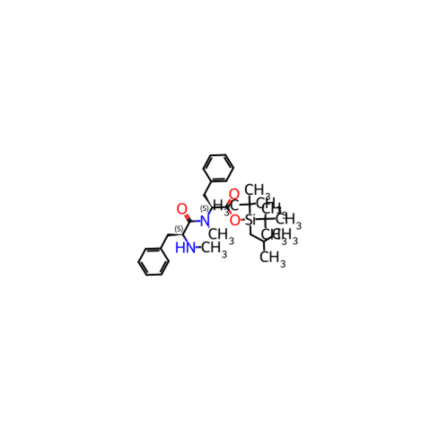 CN[C@@H](Cc1ccccc1)C(=O)N(C)[C@@H](Cc1ccccc1)C(=O)O[Si](CC(C)C)(C(C)(C)C)C(C)(C)C